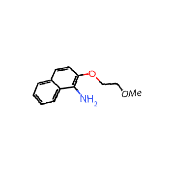 COCCOc1ccc2ccccc2c1N